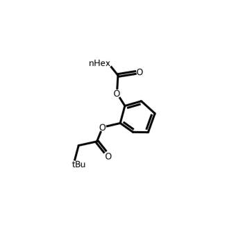 CCCCCCC(=O)Oc1ccccc1OC(=O)CC(C)(C)C